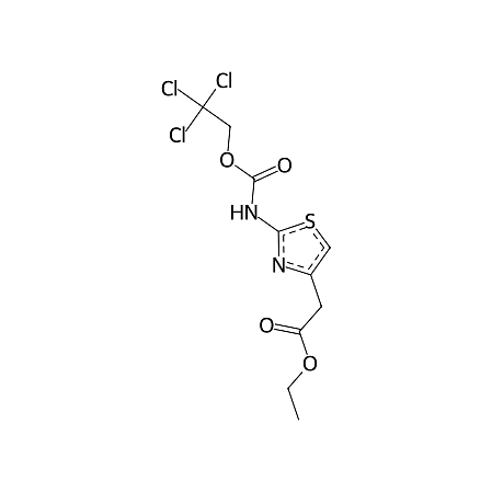 CCOC(=O)Cc1csc(NC(=O)OCC(Cl)(Cl)Cl)n1